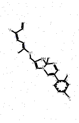 C=C/C(F)=C\C=C(/C)OCC1=CN2C=C(c3ccc(F)cc3C)C=NC2(C)N1